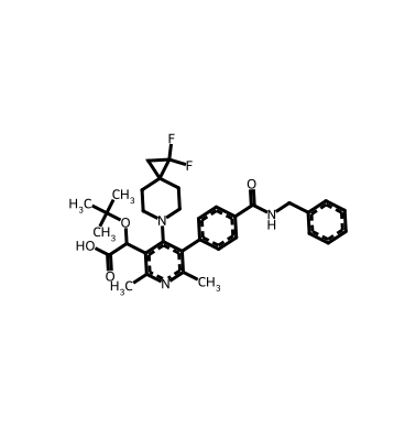 Cc1nc(C)c(C(OC(C)(C)C)C(=O)O)c(N2CCC3(CC2)CC3(F)F)c1-c1ccc(C(=O)NCc2ccccc2)cc1